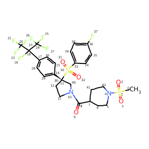 CS(=O)(=O)N1CCC(C(=O)N2CC[C@](c3ccc(C(F)(C(F)(F)F)C(F)(F)F)cc3)(S(=O)(=O)c3ccc(F)cc3)C2)CC1